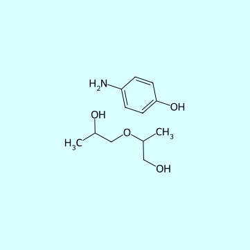 CC(O)COC(C)CO.Nc1ccc(O)cc1